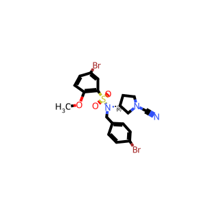 COc1ccc(Br)cc1S(=O)(=O)N(Cc1ccc(Br)cc1)[C@@H]1CCN(C#N)C1